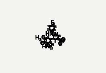 Cn1cc(-c2cc([N+](=O)[O-])cnc2Nc2ccc(F)cc2)c2cc[nH]c2c1=O